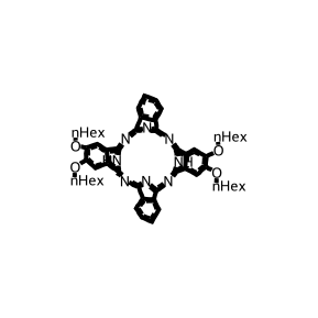 CCCCCCOc1cc2c3nc4nc(nc5[nH]c(nc6nc(nc([nH]3)c2cc1OCCCCCC)-c1ccccc1-6)c1cc(OCCCCCC)c(OCCCCCC)cc51)-c1ccccc1-4